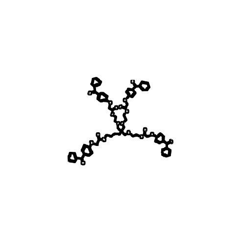 O=C(COc1ccc(C(=O)c2ccccc2)cc1)OCCCCC(COCCOC(=O)COc1ccc(C(=O)c2ccccc2)cc1)(COCCOC(=O)COc1ccc(C(=O)c2ccccc2)cc1)COCCOC(=O)COc1ccc(C(=O)c2ccccc2)cc1